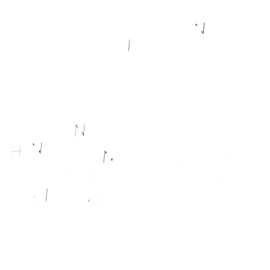 N#Cc1ccc(-c2nc(N)c(Cl)c(=O)n2-c2ccc(C3CC3)cc2)cc1F